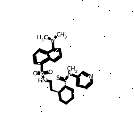 CN(C)c1cccc2c(S(=O)(=O)NCC[C@@H]3CCCC[C@H]3C(=S)N(C)c3cccnc3)cccc12